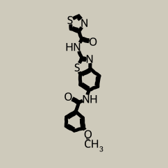 COc1cccc(C(=O)Nc2ccc3nc(NC(=O)c4cscn4)sc3c2)c1